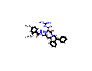 CCC(NC(=N)N)[C@@H]1N[C@H](CNC(=O)c2ccc(OC)cc2OC)CCN(CC(c2ccccc2)c2ccccc2)C1=O